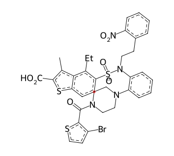 CCc1c(S(=O)(=O)N(CCc2ccccc2[N+](=O)[O-])c2ccccc2N2CCN(C(=O)c3sccc3Br)CC2)ccc2sc(C(=O)O)c(C)c12